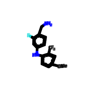 COc1ccc(Nc2ccc(CN)c(F)c2)c(C(F)(F)F)c1